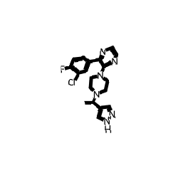 CC(c1cn[nH]c1)N1CCN(c2nccnc2-c2ccc(F)c(Cl)c2)CC1